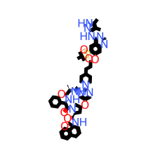 CN[C@@H](C)C(=O)N[C@H](C(=O)N1C[C@@H](Oc2cnc(N3CCC(CCCOc4cc5ncnc(Nc6n[nH]c(C)c6C)c5cc4S(=O)(=O)C(C)(C)C)CC3)nc2)C[C@H]1C(=O)N[C@]1(C=O)C=CCc2ccccc21)C1CCCCC1